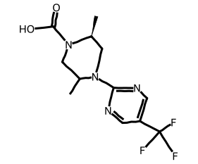 CC1CN(C(=O)O)[C@@H](C)CN1c1ncc(C(F)(F)F)cn1